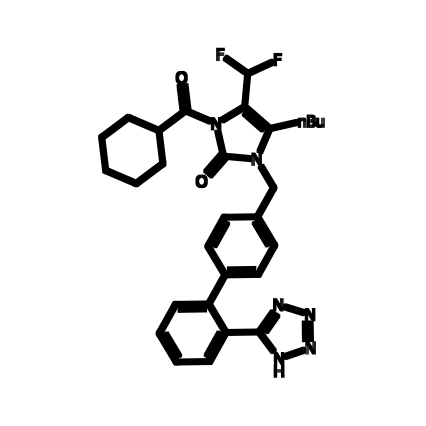 CCCCc1c(C(F)F)n(C(=O)C2CCCCC2)c(=O)n1Cc1ccc(-c2ccccc2-c2nnn[nH]2)cc1